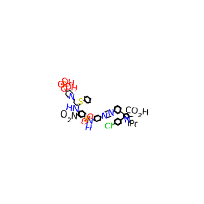 Cc1c(C(=O)O)c(-c2cccc(N3CCN(c4ccc(NS(=O)(=O)c5ccc(NC(CCN6CCC(OP(=O)(O)O)CC6)CSc6ccccc6)c([N+](=O)[O-])c5)cc4)CC3)c2)c(-c2ccc(Cl)cc2)n1C(C)C